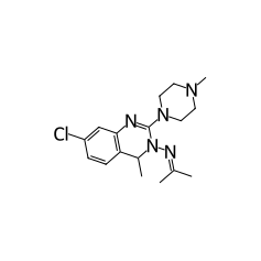 CC(C)=NN1C(N2CCN(C)CC2)=Nc2cc(Cl)ccc2C1C